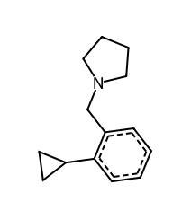 c1ccc(C2CC2)c(CN2CCCC2)c1